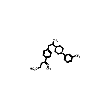 CC(Cc1ccc(C(CCC(=O)O)=NO)cc1)N1CCN(c2cccc(C(F)(F)F)c2)CC1